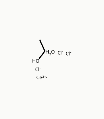 CCO.O.[Ce+3].[Cl-].[Cl-].[Cl-]